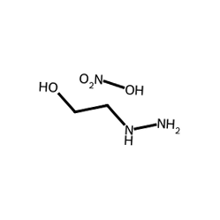 NNCCO.O=[N+]([O-])O